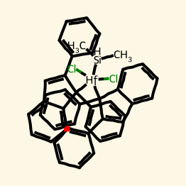 C[SiH](C)[Hf]([Cl])([Cl])([C]1(c2ccccc2)C(c2ccccc2)=Cc2ccccc21)[C]1(c2ccccc2)C(c2ccccc2)=Cc2ccccc21